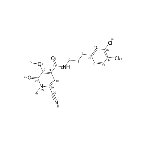 COc1c(C(=O)NCCCc2ccc(Cl)c(Cl)c2)cc(C#N)n(C)c1=O